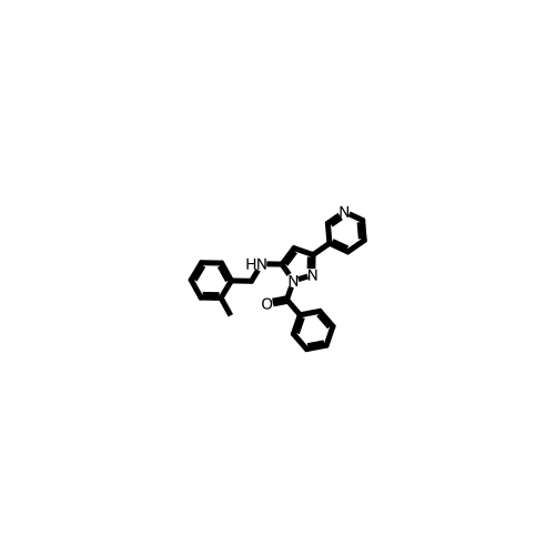 Cc1ccccc1CNc1cc(-c2cccnc2)nn1C(=O)c1ccccc1